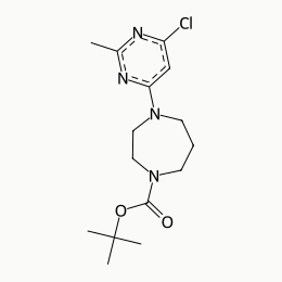 Cc1nc(Cl)cc(N2CCCN(C(=O)OC(C)(C)C)CC2)n1